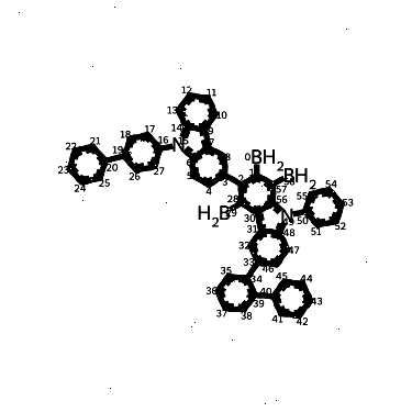 Bc1c(-c2ccc3c(c2)c2ccccc2n3-c2ccc(-c3ccccc3)cc2)c(B)c2c3cc(-c4ccccc4-c4ccccc4)ccc3n(-c3ccccc3)c2c1B